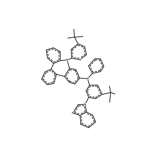 CC(C)(C)c1cc(N(c2ccccc2)c2ccc3c(c2)N(c2cc(C(C)(C)C)ccn2)c2ccccc2-c2ccccc2-3)cc(-n2cnc3ccccc32)c1